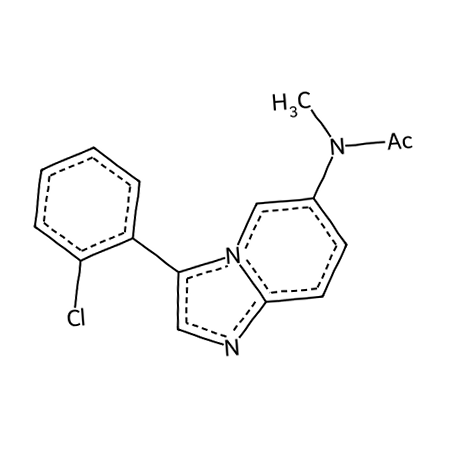 CC(=O)N(C)c1ccc2ncc(-c3ccccc3Cl)n2c1